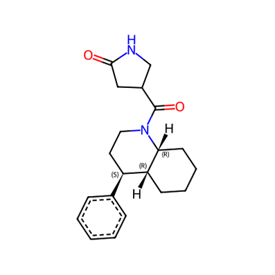 O=C1CC(C(=O)N2CC[C@H](c3ccccc3)[C@H]3CCCC[C@H]32)CN1